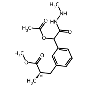 CNNC(=O)C(OC(C)=O)c1cccc(C[C@@H](C)C(=O)OC)c1